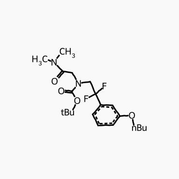 CCCCOc1cccc(C(F)(F)CN(CC(=O)N(C)C)C(=O)OC(C)(C)C)c1